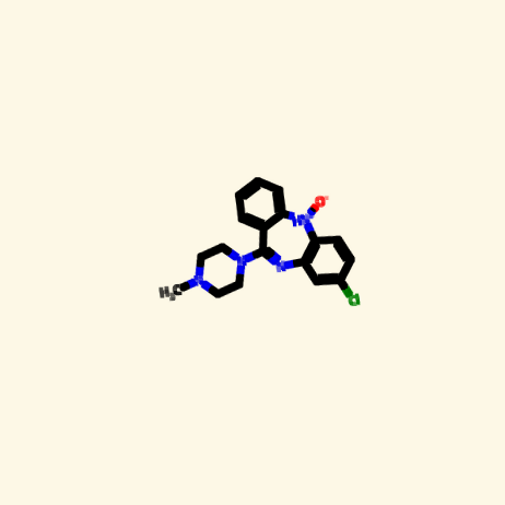 CN1CCN(C2=Nc3cc(Cl)ccc3[NH+]([O-])c3ccccc32)CC1